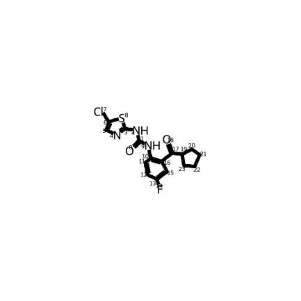 O=C(Nc1ncc(Cl)s1)Nc1ccc(F)cc1C(=O)C1CCCC1